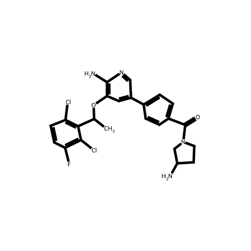 CC(Oc1cc(-c2ccc(C(=O)N3CCC(N)C3)cc2)cnc1N)c1c(Cl)ccc(F)c1Cl